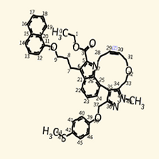 CCOC(=O)c1c(CCCOc2cccc3ccccc23)c2cccc3c2n1C/C=C\COCc1c-3c(COc2ccc(SC)cc2)nn1C